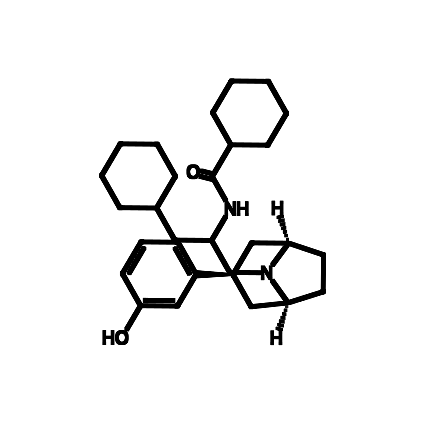 O=C(NC(CC1CCCCC1)CN1[C@@H]2CC[C@H]1C[C@@H](c1cccc(O)c1)C2)C1CCCCC1